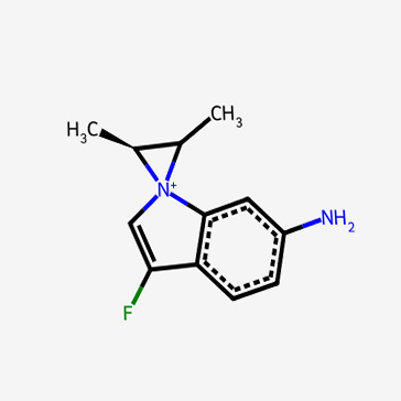 CC1[C@H](C)[N+]12C=C(F)c1ccc(N)cc12